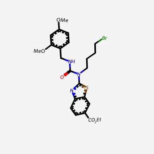 CCOC(=O)c1ccc2nc(N(CCCCBr)C(=O)NCc3ccc(OC)cc3OC)sc2c1